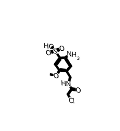 COc1cc(S(=O)(=O)O)c(N)cc1CNC(=O)CCl